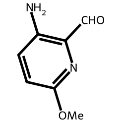 COc1ccc(N)c(C=O)n1